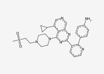 CS(=O)(=O)CCN1CCN(c2nc(-c3cccnc3-c3ccc(N)cc3)nc3cncc(C4CC4)c23)CC1